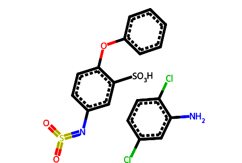 Nc1cc(Cl)ccc1Cl.O=S(=O)=Nc1ccc(Oc2ccccc2)c(S(=O)(=O)O)c1